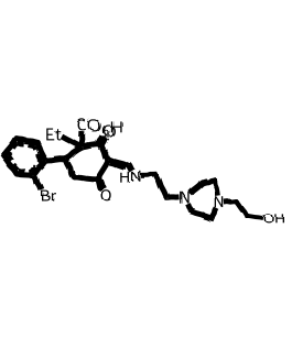 CCC1(C(=O)O)C(=O)C(=CNCCN2CCN(CCO)CC2)C(=O)CC1c1ccccc1Br